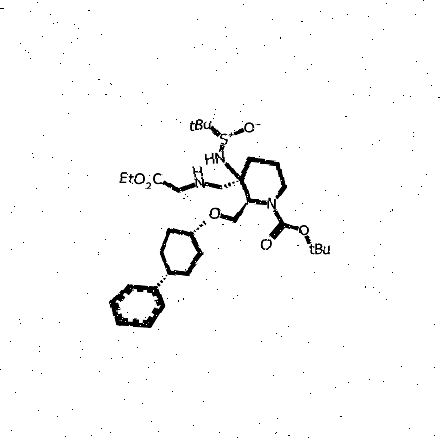 CCOC(=O)CNC[C@]1(N[S+]([O-])C(C)(C)C)CCCN(C(=O)OC(C)(C)C)[C@H]1CO[C@H]1CC[C@@H](c2ccccc2)CC1